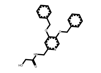 O=C(CO)NCc1cc(OCc2ccccc2)c(OCc2ccccc2)cn1